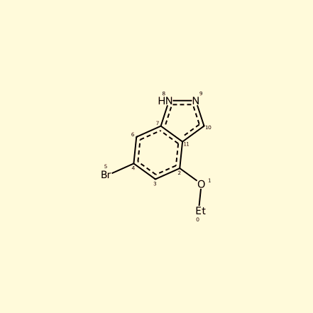 CCOc1cc(Br)cc2[nH]ncc12